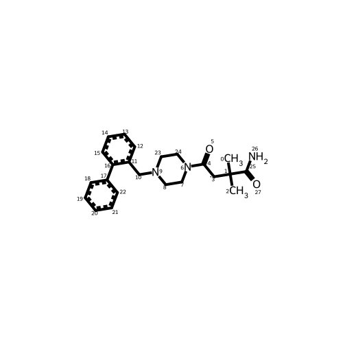 CC(C)([CH]C(=O)N1CCN(Cc2ccccc2-c2ccccc2)CC1)C(N)=O